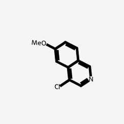 COc1ccc2cncc(Cl)c2c1